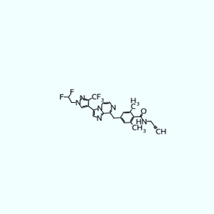 C#CCNC(=O)c1c(C)cc(Cc2nccn3c(-c4cn(CC(F)F)nc4C(F)(F)F)cnc23)cc1C